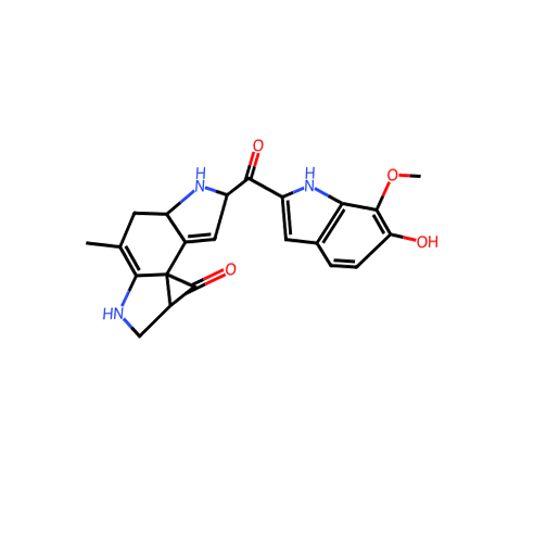 COc1c(O)ccc2cc(C(=O)C3C=C4C(CC(C)=C5NCC6C(=O)C456)N3)[nH]c12